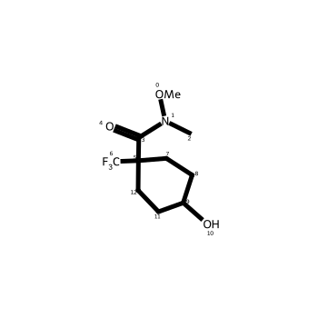 CON(C)C(=O)C1(C(F)(F)F)CCC(O)CC1